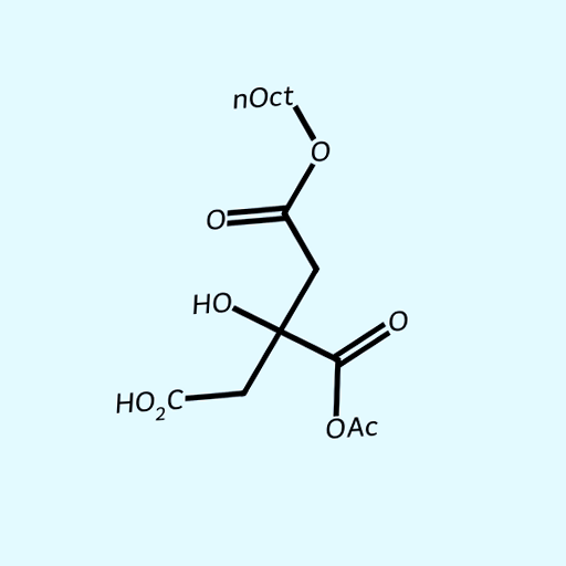 CCCCCCCCOC(=O)CC(O)(CC(=O)O)C(=O)OC(C)=O